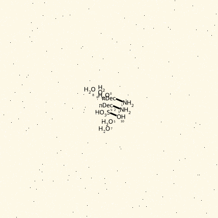 CCCCCCCCCCN.CCCCCCCCCCN.O.O.O.O.O.O=S(=O)(O)O